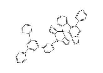 c1ccc(-c2cc(-c3ccccc3)nc(-c3cccc(N4c5ccccc5C5(c6ccccc6-c6c(-c7ccccc7)nc7ccccc7c65)c5ccccc54)c3)c2)cc1